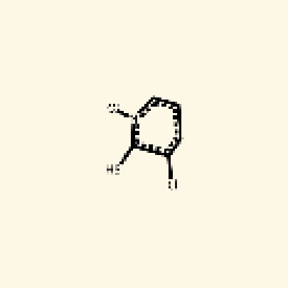 [O-][n+]1cccc(Cl)c1S